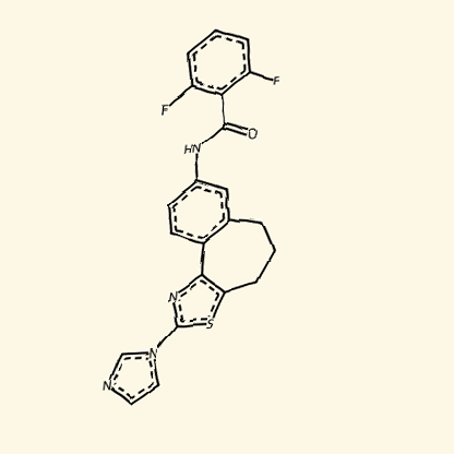 O=C(Nc1ccc2c(c1)CCCc1sc(-n3ccnc3)nc1-2)c1c(F)cccc1F